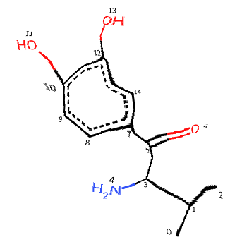 CC(C)C(N)C(=O)c1ccc(O)c(O)c1